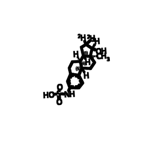 [2H]C1([2H])C[C@H]2[C@@H]3CCc4cc(NS(=O)(=O)O)ccc4[C@H]3CC[C@]2(C)[C@@]1([2H])O